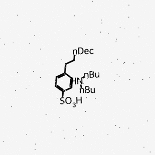 CCCCCCCCCCCCc1ccc(S(=O)(=O)O)cc1.CCCCNCCCC